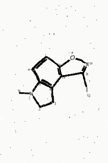 CN1CCc2c1ccc1onc(I)c21